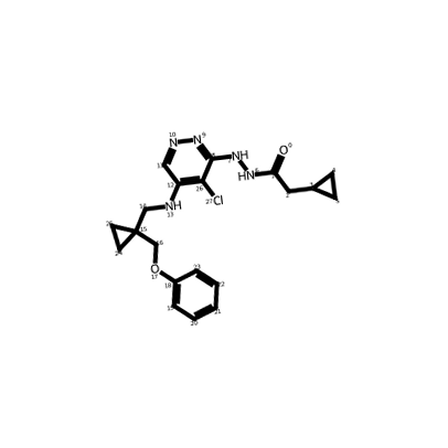 O=C(CC1CC1)NNc1nncc(NCC2(COc3ccccc3)CC2)c1Cl